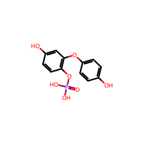 O=P(O)(O)Oc1ccc(O)cc1Oc1ccc(O)cc1